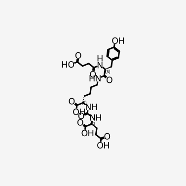 O=C(O)CCC(=O)N[C@@H](Cc1ccc(O)cc1)C(=O)NCCCC[C@H](NC(=O)N[C@@H](CCC(=O)O)C(=O)O)C(=O)O